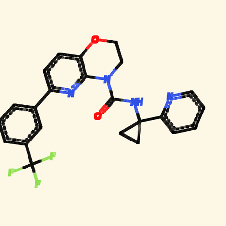 O=C(NC1(c2ccccn2)CC1)N1CCOc2ccc(-c3cccc(C(F)(F)F)c3)nc21